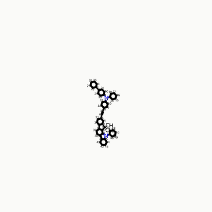 CC1(C)c2cc(C#Cc3ccc(N(c4ccccc4)c4ccc(-c5ccccc5)cc4)cc3)ccc2-c2ccc3c4ccccc4n(-c4ccccc4)c3c21